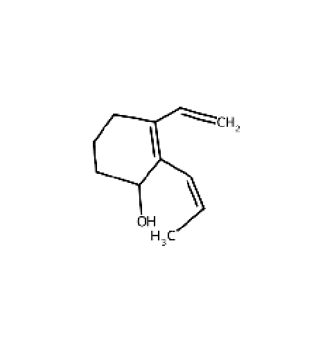 C=CC1=C(/C=C\C)C(O)CCC1